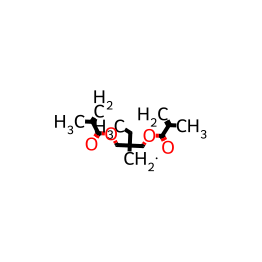 [CH2]C(CC)(COC(=O)C(=C)C)COC(=O)C(=C)C